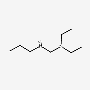 CCCNCN(CC)CC